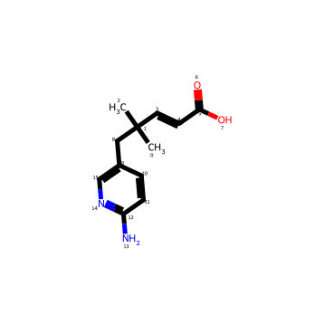 CC(C)(C=CC(=O)O)Cc1ccc(N)nc1